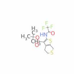 CC(C)(C)OC(=O)c1c(NC(=O)C(F)(F)F)sc2c1CCSC2